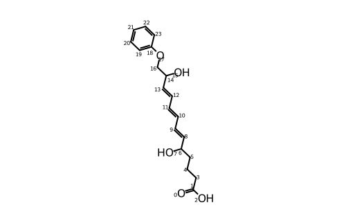 O=C(O)CCCC(O)C=CC=C/C=C/C(O)COc1ccccc1